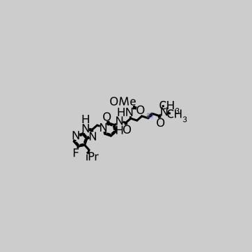 COC(=O)NC(CC/C=C/C(=O)N(C)C)C(=O)Nc1cccn(Cc2nc3c(CC(C)C)c(F)cnc3[nH]2)c1=O